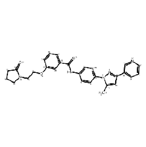 O=C(Nc1ccc(-n2nc(-c3cccnc3)cc2C(F)(F)F)nc1)c1cccc(OCCN2CCCC2=O)c1